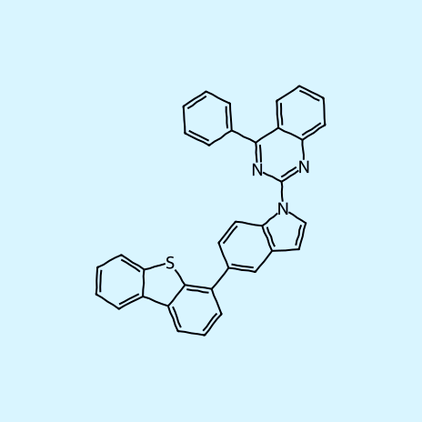 c1ccc(-c2nc(-n3ccc4cc(-c5cccc6c5sc5ccccc56)ccc43)nc3ccccc23)cc1